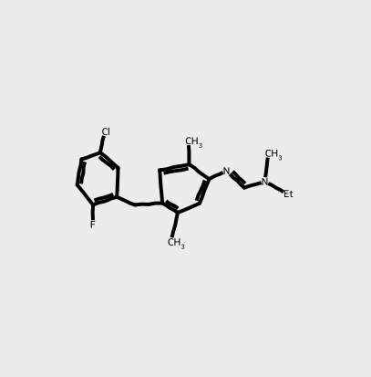 CCN(C)C=Nc1cc(C)c(Cc2cc(Cl)ccc2F)cc1C